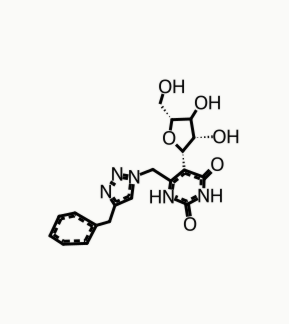 O=c1[nH]c(Cn2cc(Cc3ccccc3)nn2)c([C@@H]2O[C@H](CO)C(O)[C@@H]2O)c(=O)[nH]1